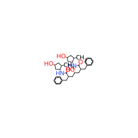 CC1CC(O)CC1NC(=O)C(Cc1ccccc1)CC(O)CC(Cc1ccccc1)C(=O)NC1CC(O)CC1C